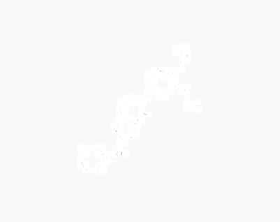 COc1cc(-c2ccc3nc(Nc4ccccc4)sc3n2)cnc1OC